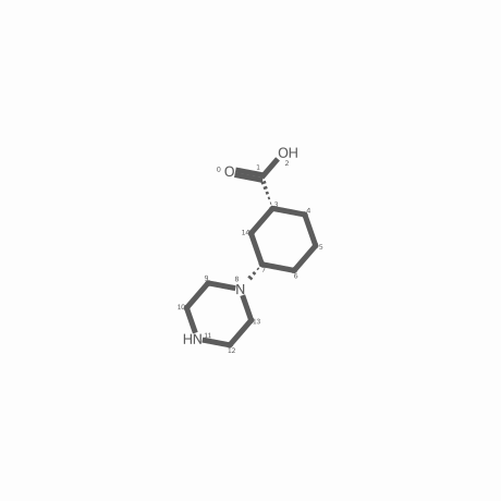 O=C(O)[C@@H]1CCC[C@H](N2CCNCC2)C1